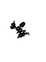 Cc1c(N)sc2cc(F)cc(-c3c(O)nc4c(N5CC6CCC(C5)N6)nc(OC[C@@]56CCCN5C[C@H](F)C6)nc4c3F)c12